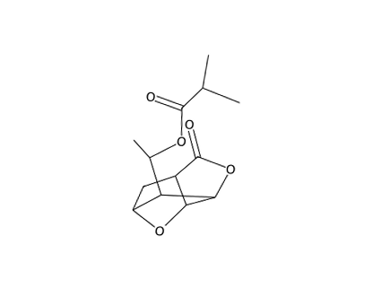 CC(C)C(=O)OC(C)C1C2CC3C(=O)OC1C3O2